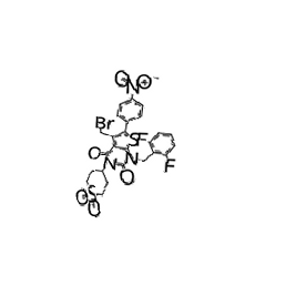 O=c1c2c(CBr)c(-c3ccc([N+](=O)[O-])cc3)sc2n(Cc2c(F)cccc2F)c(=O)n1C1CCS(=O)(=O)CC1